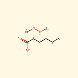 CCCCCC(=O)O.CCOOCC